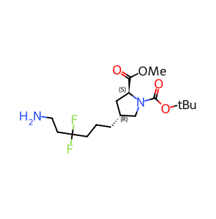 COC(=O)[C@@H]1C[C@@H](CCCC(F)(F)CCN)CN1C(=O)OC(C)(C)C